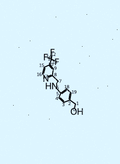 OCc1ccc(NCc2cc(C(F)(F)F)ccn2)cc1